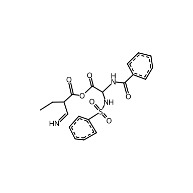 CCC(C=N)C(=O)OC(=O)C(NC(=O)c1ccccc1)NS(=O)(=O)c1ccccc1